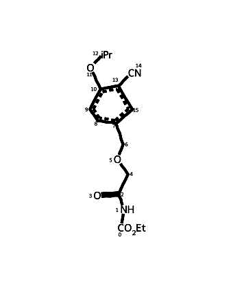 CCOC(=O)NC(=O)COCc1ccc(OC(C)C)c(C#N)c1